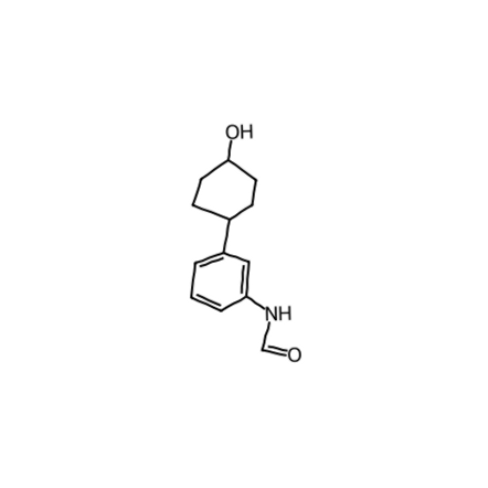 O=CNc1cccc(C2CCC(O)CC2)c1